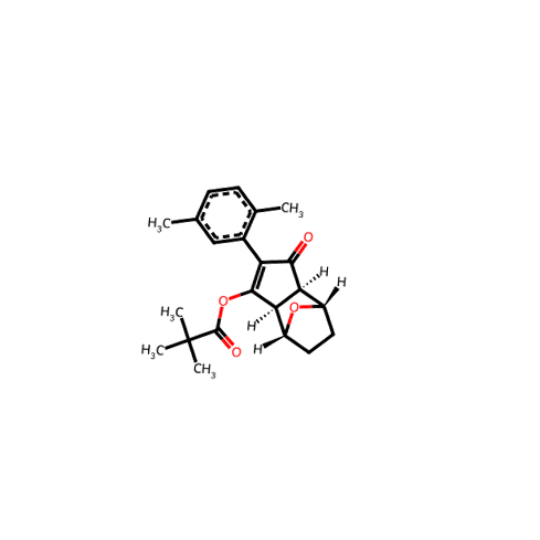 Cc1ccc(C)c(C2=C(OC(=O)C(C)(C)C)[C@H]3[C@@H](C2=O)[C@@H]2CC[C@H]3O2)c1